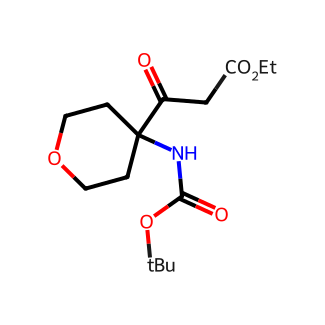 CCOC(=O)CC(=O)C1(NC(=O)OC(C)(C)C)CCOCC1